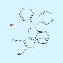 CSc1sc(C)c(C[P+](c2ccccc2)(c2ccccc2)c2ccccc2)c1C.[Br-]